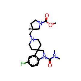 COC(=O)N1CC[C@H](CN2CCC3(CC2)CN(C(=O)N(C)C)c2ccc(F)cc23)C1